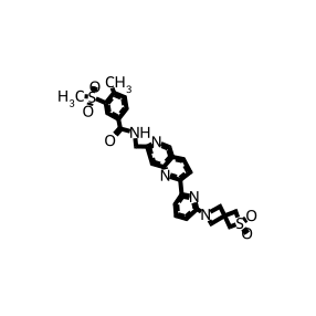 Cc1ccc(C(=O)NCc2cc3nc(-c4cccc(N5CC6(C5)CS(=O)(=O)C6)n4)ccc3cn2)cc1S(C)(=O)=O